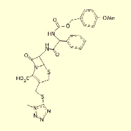 COc1ccc(COC(=O)NC(C(=O)NC2C(=O)N3C(C(=O)O)=C(CSc4nnnn4C)CSC23)c2ccccc2)cc1